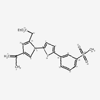 C=C(C)c1cn(-c2ccc(-c3cccc(S(C)(=O)=O)c3)s2)c(CC(=O)OCC)n1